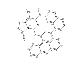 CCC(CC(CC(CC(C)c1cccc2ccccc12)c1c2ccccc2cc2ccccc12)N1CCCC1=O)C(=O)O